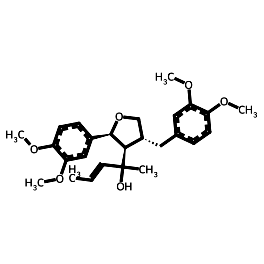 C/C=C/C(C)(O)[C@@H]1[C@@H](Cc2ccc(OC)c(OC)c2)CO[C@@H]1c1ccc(OC)c(OC)c1